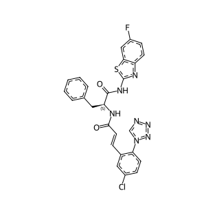 O=C(C=Cc1cc(Cl)ccc1-n1cnnn1)N[C@@H](Cc1ccccc1)C(=O)Nc1nc2ccc(F)cc2s1